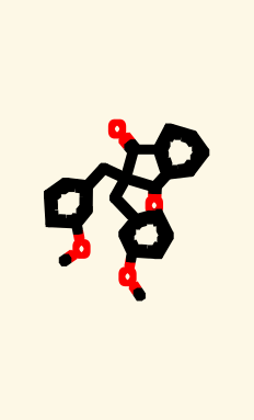 COc1cccc(CC2(Cc3cccc(OC)c3)C(=O)c3ccccc3C2=O)c1